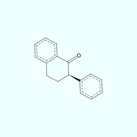 O=C1c2ccccc2CC[C@@H]1c1ccccc1